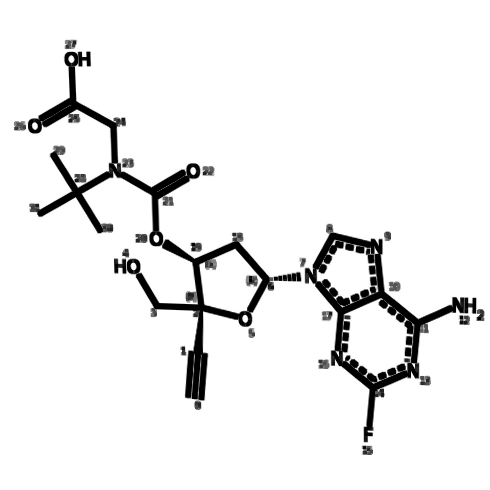 C#C[C@]1(CO)O[C@@H](n2cnc3c(N)nc(F)nc32)C[C@@H]1OC(=O)N(CC(=O)O)C(C)(C)C